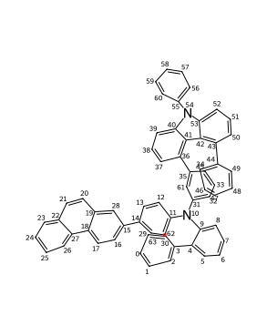 c1ccc(-c2ccccc2N(c2ccc(-c3ccc4c(ccc5ccccc54)c3)cc2)c2cccc(-c3cccc4c3c3c(-c5ccccc5)cccc3n4-c3ccccc3)c2)cc1